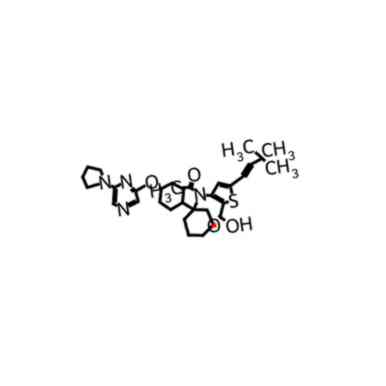 CC(=O)N(c1cc(C#CC(C)(C)C)sc1C(=O)O)C1(C2CCC(Oc3cncc(N4CCCC4)n3)CC2)CCCCC1